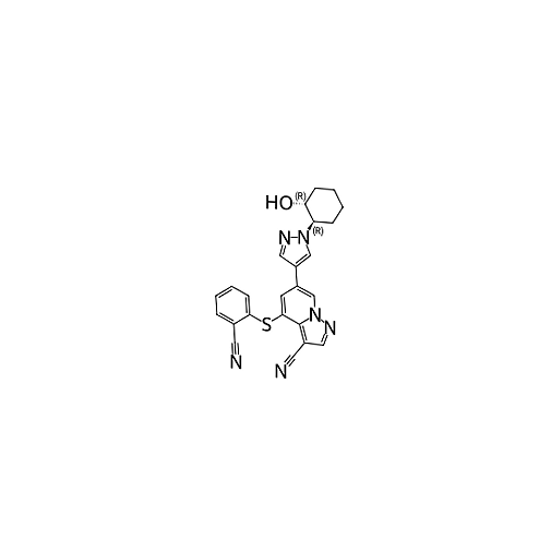 N#Cc1ccccc1Sc1cc(-c2cnn([C@@H]3CCCC[C@H]3O)c2)cn2ncc(C#N)c12